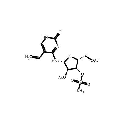 C=Cc1c[nH]c(=O)nc1N[C@@H]1O[C@H](COC(C)=O)[C@H](OS(C)(=O)=O)[C@H]1OC(C)=O